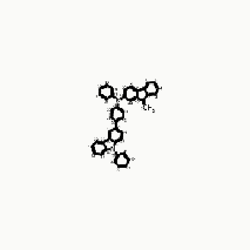 C=C1c2ccccc2-c2ccc(N(c3ccccc3)c3ccc(-c4ccc5c(c4)c4ccccc4n5-c4ccccc4)cc3)cc21